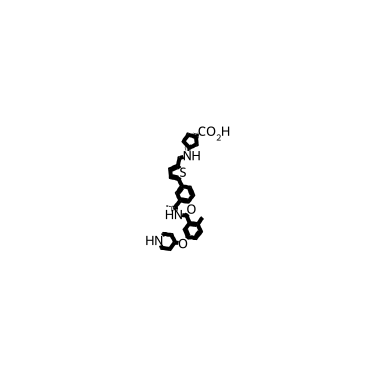 Cc1ccc(OC2CCNCC2)cc1C(=O)N[C@H](C)c1cccc(-c2ccc(CN[C@H]3CC[C@@H](C(=O)O)C3)s2)c1